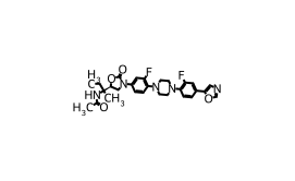 CCC(C)(NC(C)=O)[C@@H]1CN(c2ccc(N3CCN(c4ccc(-c5cnco5)cc4F)CC3)c(F)c2)C(=O)O1